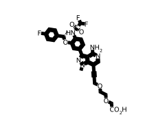 C[C@H](Oc1cc(-c2nn(C)c3c(C#CCOCCOCC(=O)O)cnc(N)c23)ccc1NS(=O)(=O)C(F)F)c1ccc(F)cc1